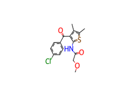 COCC(=O)Nc1sc(C)c(C)c1C(=O)c1ccc(Cl)cc1